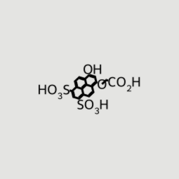 O=C(O)COc1cc(O)c2ccc3c(S(=O)(=O)O)cc(S(=O)(=O)O)c4ccc1c2c34